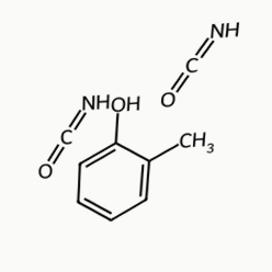 Cc1ccccc1O.N=C=O.N=C=O